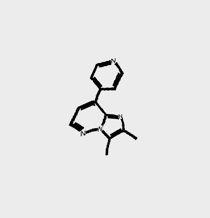 Cc1nc2c(-c3ccncc3)ccnn2c1C